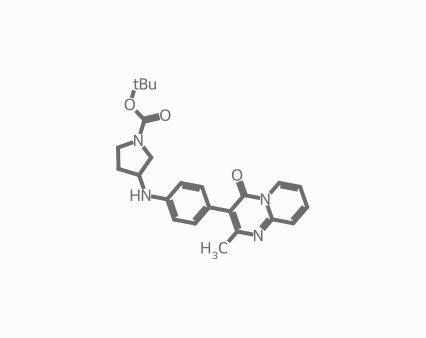 Cc1nc2ccccn2c(=O)c1-c1ccc(NC2CCN(C(=O)OC(C)(C)C)C2)cc1